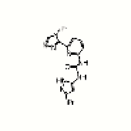 CC(C)c1cc(NC(=O)Nc2cccc(-c3nncn3C(C)C)n2)[nH]n1